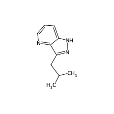 CC(C)Cc1n[nH]c2cccnc12